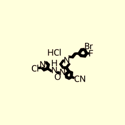 Cl.N#Cc1ccc2c(c1)c1c(n2C(=O)NCc2ccnc(Cl)c2)CCN(C/C=C/c2ccc(F)c(Br)c2)C1